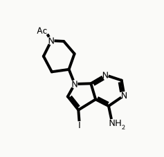 CC(=O)N1CCC(n2cc(I)c3c(N)ncnc32)CC1